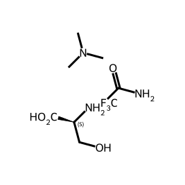 CN(C)C.NC(=O)C(F)(F)F.N[C@@H](CO)C(=O)O